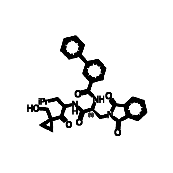 CC(C)CC(NC(=O)[C@H](CN1C(=O)c2ccccc2C1=O)NC(=O)c1cccc(-c2ccccc2)c1)C(=O)C1(CO)CC1